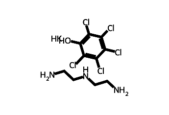 NCCNCCN.Oc1c(Cl)c(Cl)c(Cl)c(Cl)c1Cl.[KH]